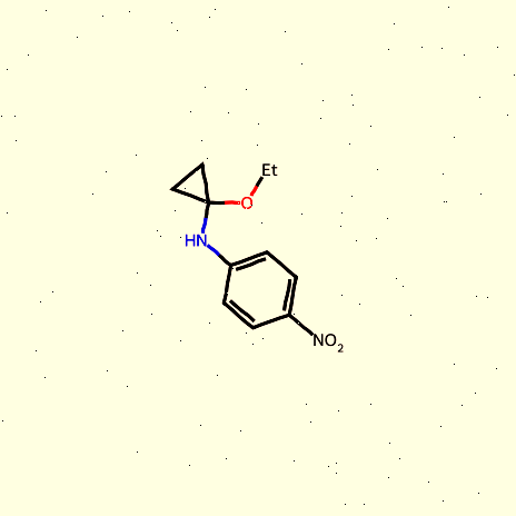 CCOC1(Nc2ccc([N+](=O)[O-])cc2)CC1